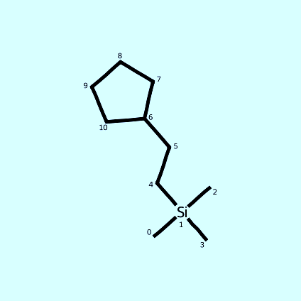 C[Si](C)(C)CCC1CCCC1